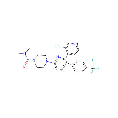 CN(C)C(=O)N1CCN(c2ccc(-c3ccc(C(F)(F)F)cc3)c(-c3ccncc3Cl)n2)CC1